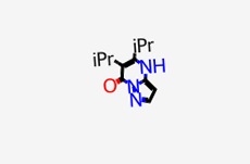 CC(C)c1[nH]c2ccnn2c(=O)c1C(C)C